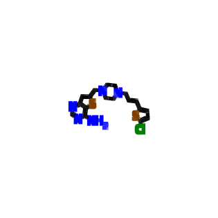 Nc1ncnc2cc(CN3CCN(CC=Cc4ccc(Cl)s4)CC3)sc12